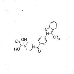 Cc1c2ccccc2nn1-c1ccc(C(=O)N2CCN(C(O)C3(O)CC3)CC2)cc1